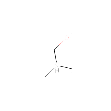 C[SiH](C)C[O]